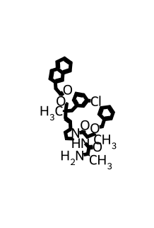 C[C@H](N)C(=O)N[C@H](C(=O)N1CCCC1/C=C/[C@](C)(COC(=O)Cc1ccc2ccccc2c1)Cc1cccc(Cl)c1)[C@@H](C)OCc1ccccc1